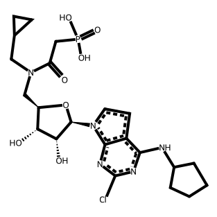 O=C(CP(=O)(O)O)N(CC1CC1)C[C@H]1O[C@@H](n2ccc3c(NC4CCCC4)nc(Cl)nc32)[C@H](O)[C@@H]1O